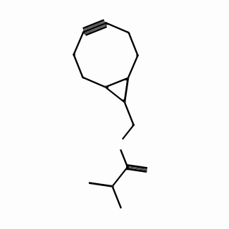 CC(C)C(=O)OCC1C2CCC#CCCC21